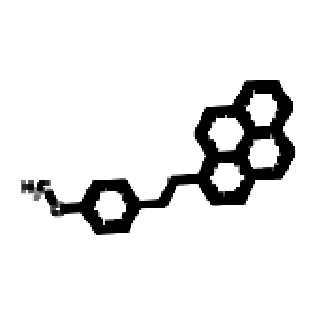 COc1ccc(C[CH]c2ccc3ccc4cccc5ccc2c3c45)cc1